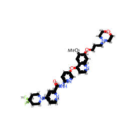 COc1cc2c(Oc3ccc(NC(=O)c4cc(N5CCC(F)(F)CC5)ccn4)nc3)ccnc2cc1OCCCN1CCOCC1